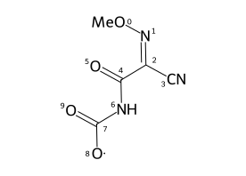 CON=C(C#N)C(=O)NC([O])=O